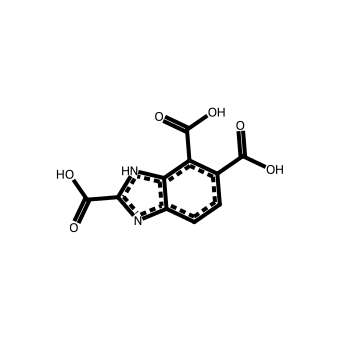 O=C(O)c1nc2ccc(C(=O)O)c(C(=O)O)c2[nH]1